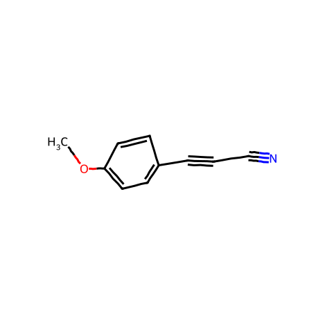 COc1ccc(C#CC#N)cc1